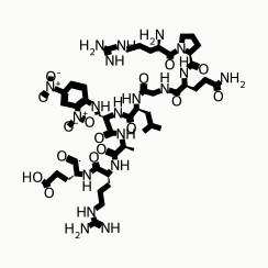 CC(C)C[C@H](NC(=O)CNC(=O)[C@H](CCC(N)=O)NC(=O)[C@@H]1CCCN1C(=O)[C@H](N)CCCNC(=N)N)C(=O)N[C@@H](CNc1ccc([N+](=O)[O-])cc1[N+](=O)[O-])C(=O)N[C@@H](C)C(=O)N[C@H](CCCNC(=N)N)C(=O)N[C@@H]([C]=O)CCC(=O)O